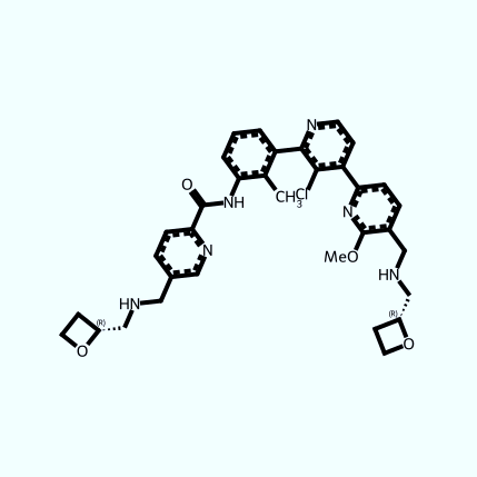 COc1nc(-c2ccnc(-c3cccc(NC(=O)c4ccc(CNC[C@H]5CCO5)cn4)c3C)c2Cl)ccc1CNC[C@H]1CCO1